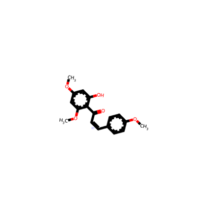 COc1ccc(/C=C\C(=O)c2c(O)cc(OC)cc2OC)cc1